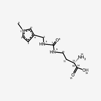 Cn1ccc(CNC(=O)NCC[C@H](N)C(=O)O)c1